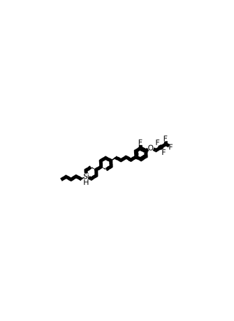 CCCCC[Si@H]1CC[C@H]([C@H]2CC[C@H](CCCCc3ccc(OCC(F)(F)C(F)F)c(F)c3)CC2)CC1